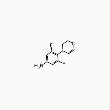 Nc1cc(F)c(C2C=COCC2)c(F)c1